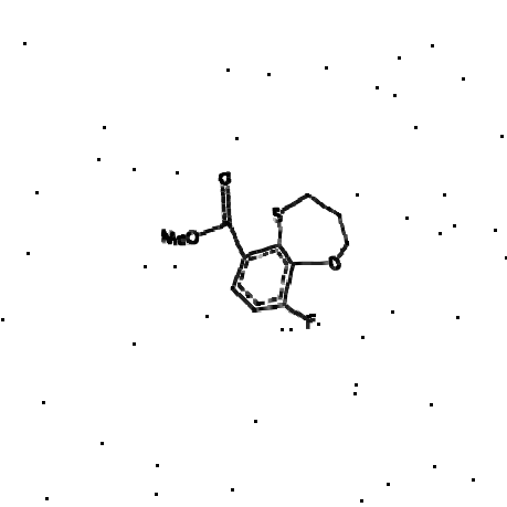 COC(=O)c1ccc(F)c2c1SCCCO2